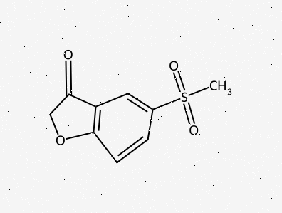 CS(=O)(=O)c1ccc2c(c1)C(=O)CO2